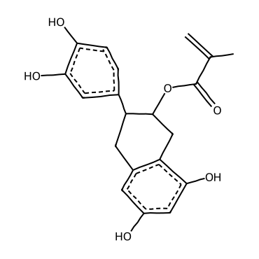 C=C(C)C(=O)OC1Cc2c(O)cc(O)cc2CC1c1ccc(O)c(O)c1